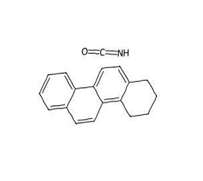 N=C=O.c1ccc2c(c1)ccc1c3c(ccc12)CCCC3